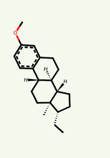 CC[C@H]1CC[C@H]2[C@@H]3CCc4cc(OC)ccc4[C@H]3CC[C@]12C